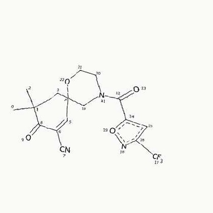 CC1(C)CC2(C=C(C#N)C1=O)CN(C(=O)c1cc(C(F)(F)F)no1)CCO2